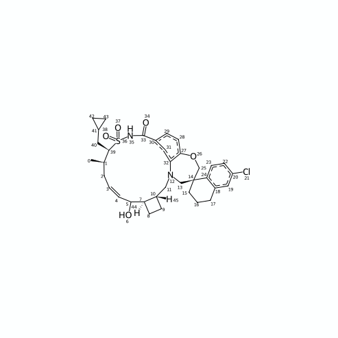 C[C@@H]1C/C=C\C(O)[C@@H]2CC[C@H]2CN2C[C@@]3(CCCc4cc(Cl)ccc43)COc3ccc(cc32)C(=O)NS(=O)(=O)[C@@H]1CC1CC1